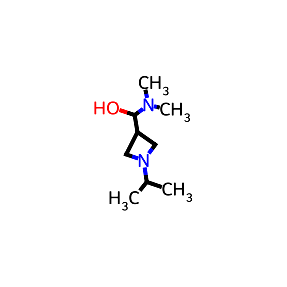 CC(C)N1CC(C(O)N(C)C)C1